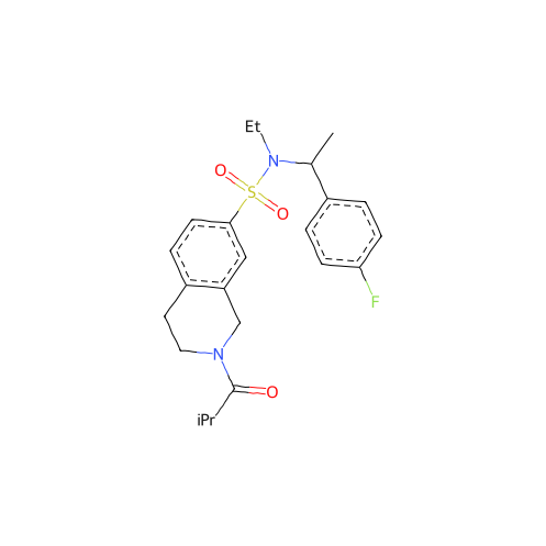 CCN(C(C)c1ccc(F)cc1)S(=O)(=O)c1ccc2c(c1)CN(C(=O)C(C)C)CC2